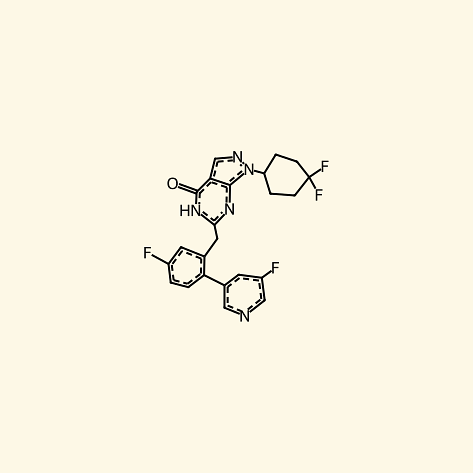 O=c1[nH]c(Cc2cc(F)ccc2-c2cncc(F)c2)nc2c1cnn2C1CCC(F)(F)CC1